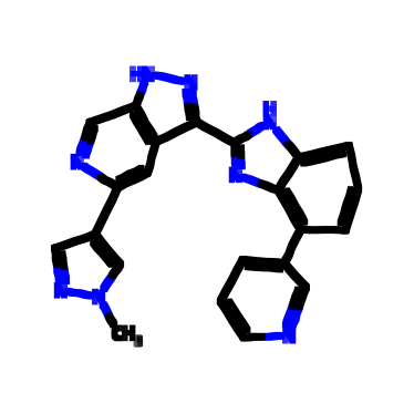 Cn1cc(-c2cc3c(-c4nc5c(-c6cccnc6)cccc5[nH]4)n[nH]c3cn2)cn1